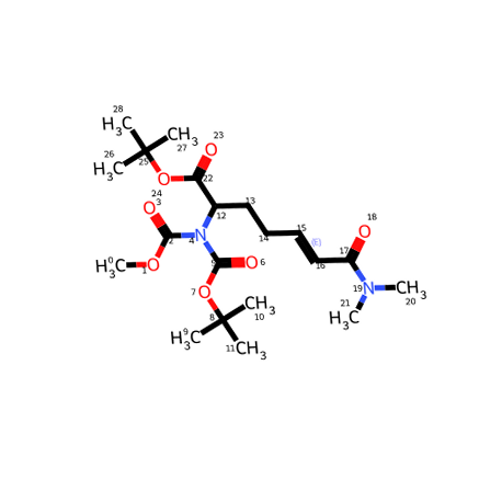 COC(=O)N(C(=O)OC(C)(C)C)C(CC/C=C/C(=O)N(C)C)C(=O)OC(C)(C)C